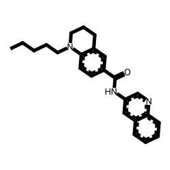 CCCCCN1CCCc2cc(C(=O)Nc3cnc4ccccc4c3)ccc21